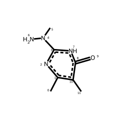 Cc1nc(N(C)N)[nH]c(=O)c1C